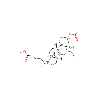 COC(=O)CCC[C@@H](C)[C@H]1CC[C@H]2[C@@H]3CC(OC)C4(O)C[C@@H](OC(C)=O)CC[C@]4(C)[C@H]3CC[C@]12C